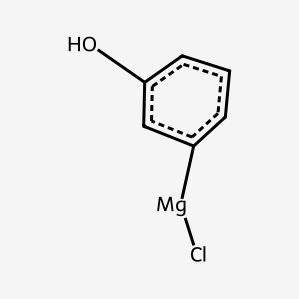 Oc1ccc[c]([Mg][Cl])c1